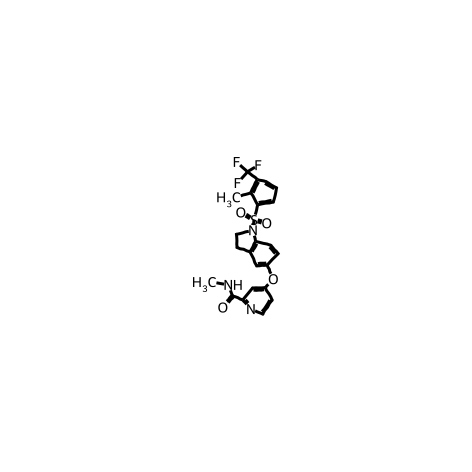 CNC(=O)c1cc(Oc2ccc3c(c2)CCN3S(=O)(=O)c2cccc(C(F)(F)F)c2C)ccn1